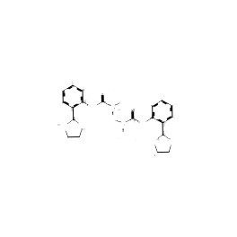 CN(SN(C)C(=O)Oc1ccccc1C1OCCS1)C(=O)Oc1ccccc1C1OCCS1